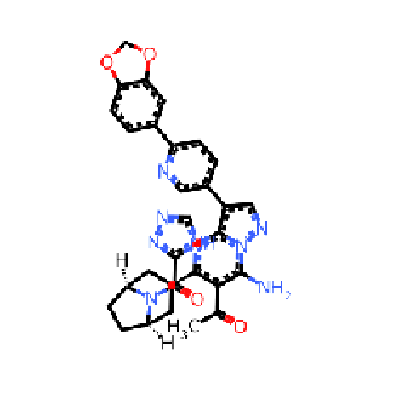 CC(=O)c1c([C@H]2C[C@H]3CC[C@@H](C2)N3C(=O)c2nnc[nH]2)nc2c(-c3ccc(-c4ccc5c(c4)OCO5)nc3)cnn2c1N